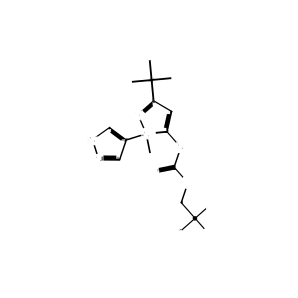 CC(C)(C)C1=N[N+](C)(c2cn[nH]c2)C(NC(=O)OCC(Cl)(Cl)Cl)=C1